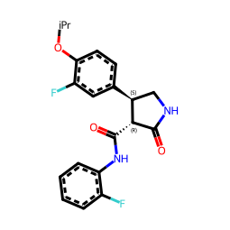 CC(C)Oc1ccc([C@H]2CNC(=O)[C@@H]2C(=O)Nc2ccccc2F)cc1F